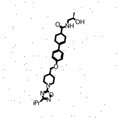 CC(C)c1noc(N2CCC(COc3ccc(C4=CCC(C(=O)NC[C@@H](C)O)CC4)cc3)CC2)n1